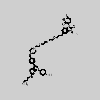 CCCCNc1ncc2c(-c3ccc(CN4CCN(CCOCCOCCOCCCc5ccc6c(c5)n(C)c(=O)n6C5CCC(=O)NC5=O)CC4)cc3)cn([C@H]3CC[C@H](O)CC3)c2n1